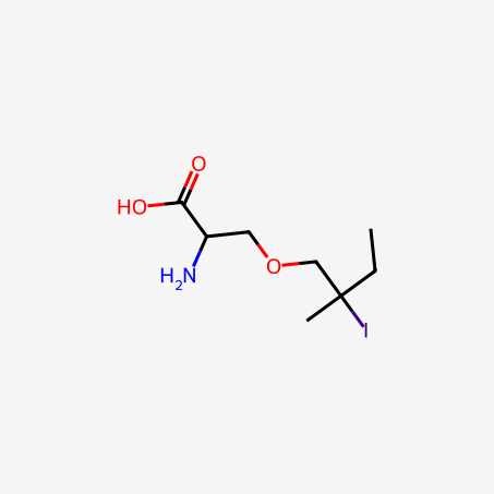 CCC(C)(I)COCC(N)C(=O)O